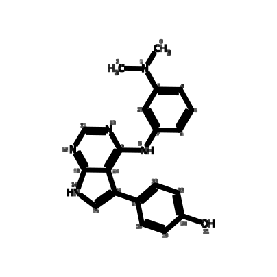 CN(C)c1cccc(Nc2ncnc3[nH]cc(-c4ccc(O)cc4)c23)c1